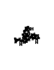 O=C1N(c2ccc3nc[nH]c3c2)Cc2cnc(NCC3CC3)nc2C12CCN(Cc1cc[nH]n1)C2